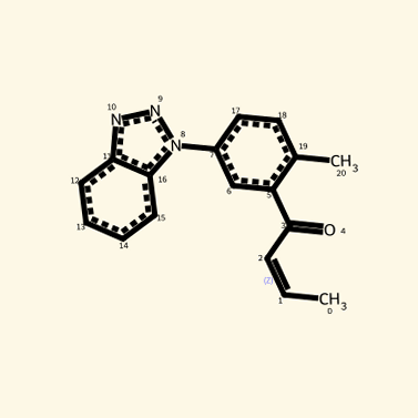 C/C=C\C(=O)c1cc(-n2nnc3ccccc32)ccc1C